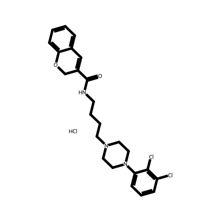 Cl.O=C(NCCCCN1CCN(c2cccc(Cl)c2Cl)CC1)C1=Cc2ccccc2OC1